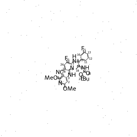 COc1cc(Nc2nc(N[C@H](c3cccc(F)c3)[C@H](C)NC(=O)OC(C)(C)C)c(F)cc2C#N)cc(OC)n1